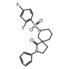 O=C1N(c2ccccc2)CCC12CCCN(S(=O)(=O)c1ccc(F)cc1F)C2